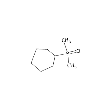 CP(C)(=O)C1CCCCC1